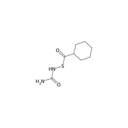 NC(=O)NSC(=O)C1CCCCC1